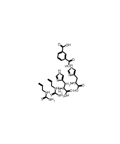 C=CCNC(N)=S.C=CCNC(N)=S.N[C@@H](Cc1c[nH]cn1)C(=O)O.N[C@@H](Cc1c[nH]cn1)C(=O)O.O=C(O)c1cccc(C(=O)O)c1